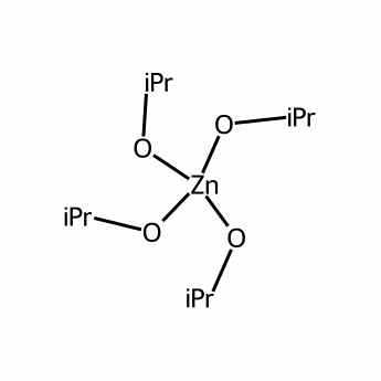 CC(C)[O][Zn]([O]C(C)C)([O]C(C)C)[O]C(C)C